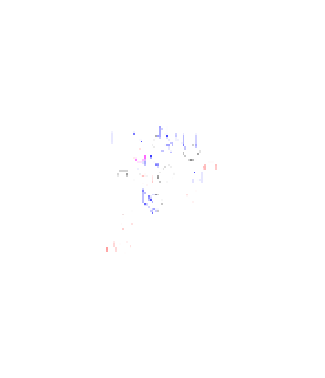 COc1c(Nc2nc(Nc3ccc(C(=O)N4CCOCC4)cc3)ncc2C(N)=O)cccc1-c1ccn(CCC2(OCCO)CCC2)n1